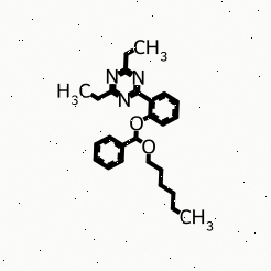 CCCCCCOC(Oc1ccccc1-c1nc(CC)nc(CC)n1)c1ccccc1